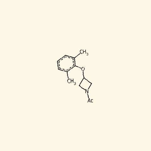 CC(=O)N1CC(Oc2c(C)cccc2C)C1